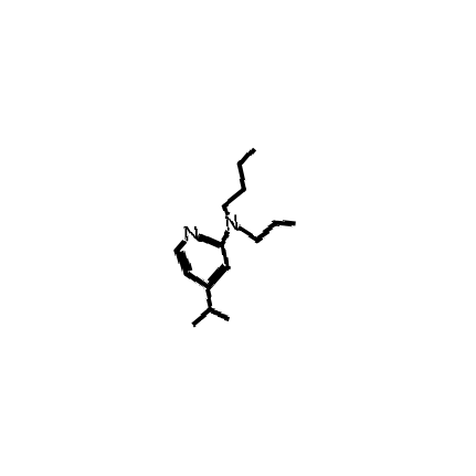 CCCCN(CCC)c1cc(C(C)C)ccn1